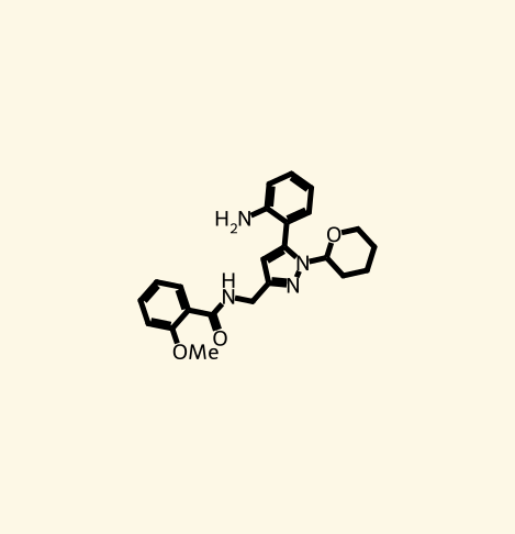 COc1ccccc1C(=O)NCc1cc(-c2ccccc2N)n(C2CCCCO2)n1